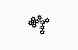 c1ccc(-c2ccc(-c3cc(-c4ccccc4)nc(-n4c5ccccc5c5cc6c(cc54)-c4ccccc4C64c5ccccc5-c5ccccc54)n3)cc2)cc1